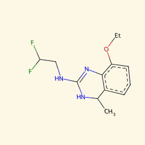 CCOc1cccc2c1N=C(NCC(F)F)NC2C